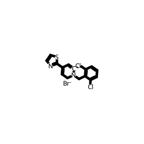 Clc1cccc(Cl)c1CN1[C+]=CC(c2nccs2)=CC1.[Br-]